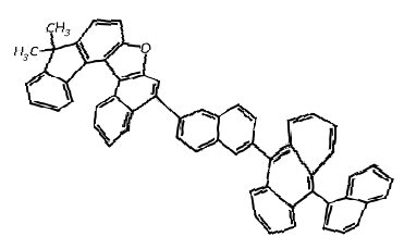 CC1(C)c2ccccc2-c2c1ccc1oc3cc(-c4ccc5cc(-c6c7ccccc7c(-c7cccc8ccccc78)c7ccccc67)ccc5c4)c4ccccc4c3c21